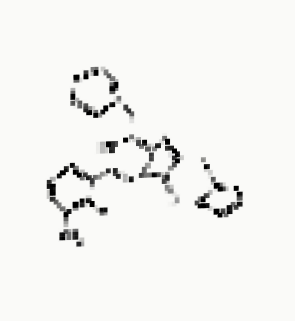 Cc1cccc(-c2cn3c(=O)c(Cc4ccco4)nc-3c(Cc3ccccc3)[nH]2)c1F